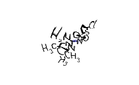 CC1=NN(/C(N)=N/S(=O)(=O)c2ccc(Cl)s2)CC1(C)C